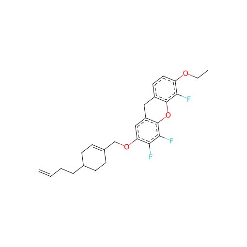 C=CCCC1CC=C(COc2cc3c(c(F)c2F)Oc2c(ccc(OCC)c2F)C3)CC1